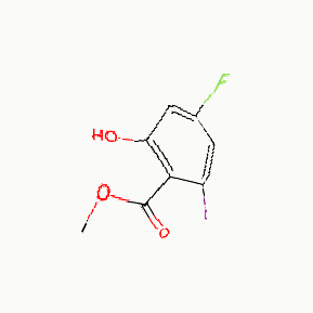 COC(=O)c1c(O)cc(F)cc1I